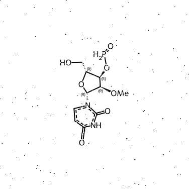 CO[C@@H]1[C@H](O[PH2]=O)[C@@H](CO)O[C@H]1n1ccc(=O)[nH]c1=O